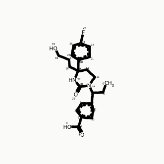 CCC(c1ccc(C(=O)O)cc1)N1CCC(CCCO)(c2ccc(F)cc2)NC1=O